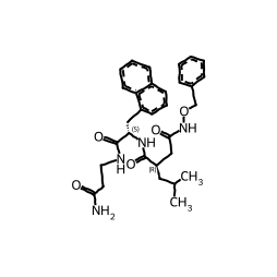 CC(C)C[C@H](CC(=O)NOCc1ccccc1)C(=O)N[C@@H](Cc1cccc2ccccc12)C(=O)NCCC(N)=O